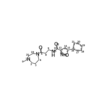 CN1CCCN(C(=O)CCNC(=O)c2cc(-c3ccccc3)on2)CC1